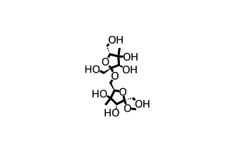 CO[C@]1(CO)O[C@H](CO[C@]2(CO)O[C@H](CO)C(C)(O)[C@H]2O)C(C)(O)[C@H]1O